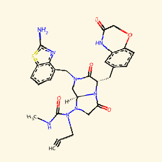 C#CCN(C(=O)NC)N1CC(=O)N2[C@@H](Cc3ccc4c(c3)NC(=O)CO4)C(=O)N(Cc3cccc4sc(N)nc34)C[C@@H]21